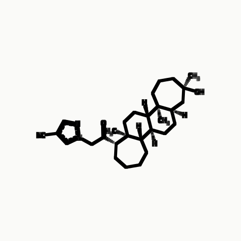 C[C@@]1(O)CCC[C@@]2(C)[C@H](CC[C@@H]3[C@@H]2CC[C@]2(C)[C@@H](C(=O)Cn4cc(C#N)cn4)CCCC[C@@H]32)C1